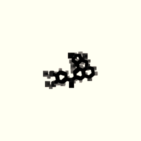 Cc1ccc(Nc2cc3c4c(c2)[C@@H]2CNC[C@@H]2CN4CCC3)cc1C